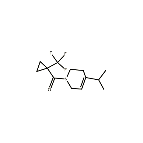 CC(C)C1=CCN(C(=O)C2(C(F)(F)F)CC2)CC1